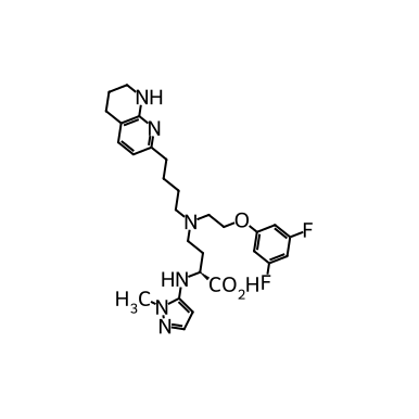 Cn1nccc1N[C@@H](CCN(CCCCc1ccc2c(n1)NCCC2)CCOc1cc(F)cc(F)c1)C(=O)O